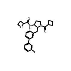 O=C(NC1CCN(C(=O)C2CCC2)C1Cc1cccc(-c2cccc(F)c2)c1)C1CCO1